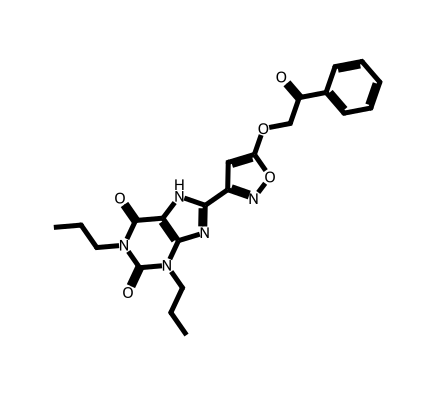 CCCn1c(=O)c2[nH]c(-c3cc(OCC(=O)c4ccccc4)on3)nc2n(CCC)c1=O